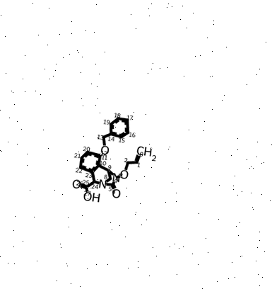 C=CCON1C(=O)N2CC1c1c(OCc3ccccc3)cccc1C2C(=O)O